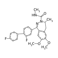 CNC(=O)N1N=C(c2ccc(-c3ccc(F)cc3)c(F)c2)c2cc(OC)c(OC)cc2CC1C